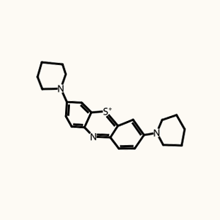 c1cc2nc3ccc(N4CCCCC4)cc3[s+]c2cc1N1CCCCC1